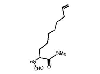 C=CCCCCCC[C@H](NC=O)C(=O)NC